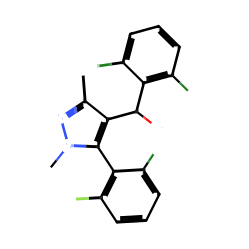 Cc1nn(C)c(-c2c(F)cccc2Cl)c1C(O)c1c(Cl)cccc1Cl